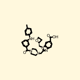 Cc1ccc(Nc2cccc(C(=O)N3CCN(Cc4nc5ccc(C(=O)O)cc5n4C[C@@H]4CCO4)CC3)c2)cc1